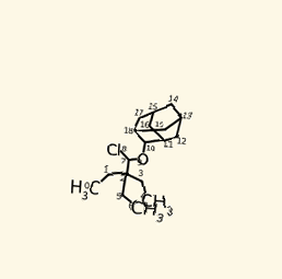 CCC(CC)(CC)C(Cl)OC1C2CC3CC(C2)CC1C3